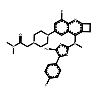 CN(C)C(=O)CN1CCN(c2cc(F)c3nc4c(c(N(C)c5nc(-c6ccc(F)cc6)c(C#N)s5)c3c2)CC4)CC1